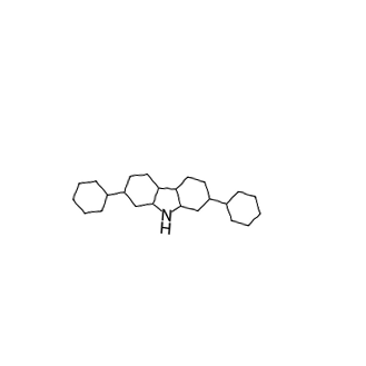 C1CCC(C2CCC3C(C2)NC2CC(C4CCCCC4)CCC23)CC1